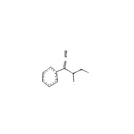 NC(CO)C(=C=O)c1ccccc1